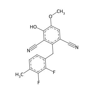 COc1cc(C#N)c(Cc2ccc(C)c(F)c2F)c(C#N)c1O